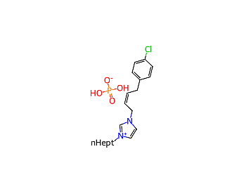 CCCCCCC[n+]1ccn(C/C=C\Cc2ccc(Cl)cc2)c1.O=P([O-])(O)O